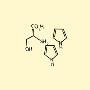 N[C@@H](CO)C(=O)O.c1cc[nH]c1.c1cc[nH]c1